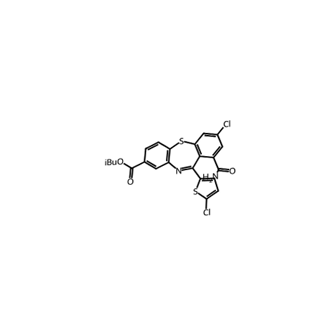 CC(C)COC(=O)c1ccc2c(c1)N=C(c1ccc(Cl)s1)c1c(cc(Cl)cc1C(N)=O)S2